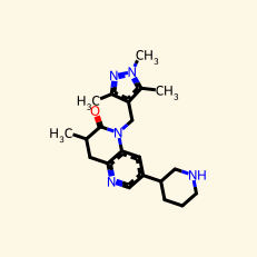 Cc1nn(C)c(C)c1CN1C(=O)C(C)Cc2ncc(C3CCCNC3)cc21